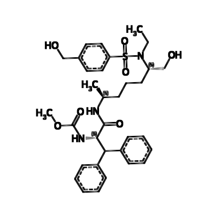 CCN([C@H](CO)CCC[C@H](C)NC(=O)[C@@H](NC(=O)OC)C(c1ccccc1)c1ccccc1)S(=O)(=O)c1ccc(CO)cc1